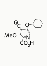 COC1C(=C=O)C(OC2CCCCC2)=CN=C1C(=O)O